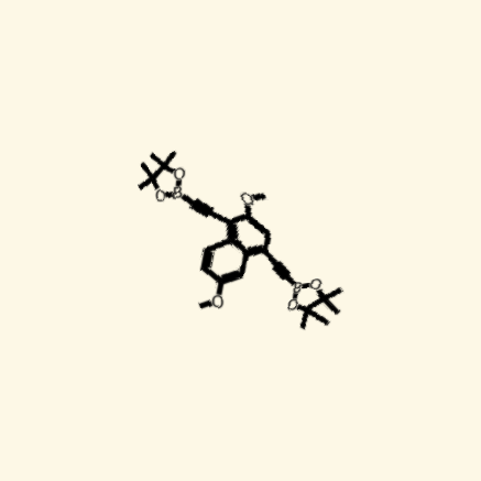 COc1ccc2c(C#CB3OC(C)(C)C(C)(C)O3)c(OC)cc(C#CB3OC(C)(C)C(C)(C)O3)c2c1